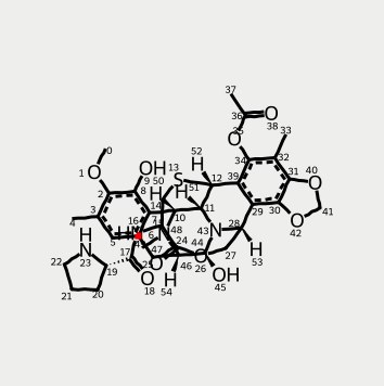 COc1c(C)cc2c(c1O)[C@@H]1[C@@H]3[C@@H]4SCC(NC(=O)[C@@H]5CCCN5)C(=O)OC[C@@H](c5c6c(c(C)c(OC(C)=O)c54)OCO6)N3[C@@H](O)[C@H](C2)N1C